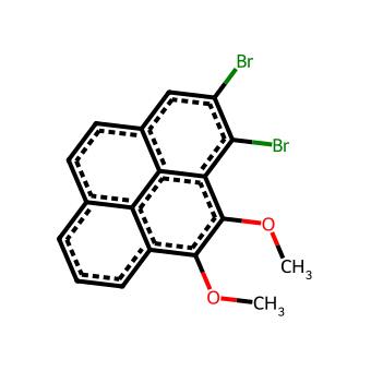 COc1c(OC)c2c(Br)c(Br)cc3ccc4cccc1c4c32